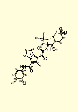 Cc1c(C(=O)C(=O)NC2(C(O)N3CCS(=O)(=O)CC3)CC(F)(F)C2)c2n(c1C(=O)Nc1ccc(F)c(Cl)c1)CCC2